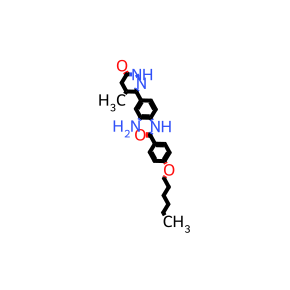 CCCCCCOc1ccc(C(=O)Nc2ccc(C3=NNC(=O)CC3C)cc2N)cc1